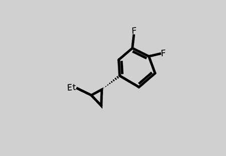 CCC1C[C@H]1c1ccc(F)c(F)c1